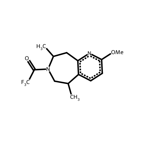 COc1ccc2c(n1)CC(C)N(C(=O)C(F)(F)F)CC2C